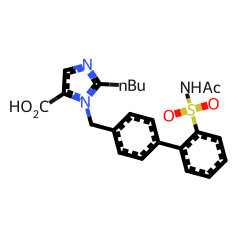 CCCCc1ncc(C(=O)O)n1Cc1ccc(-c2ccccc2S(=O)(=O)NC(C)=O)cc1